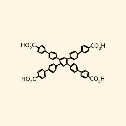 O=C(O)c1ccc(-c2ccc(-c3cc(-c4ccc(-c5ccc(C(=O)O)cc5)cc4)c(-c4ccc(-c5ccc(C(=O)O)cc5)cc4)cc3-c3ccc(-c4ccc(C(=O)O)cc4)cc3)cc2)cc1